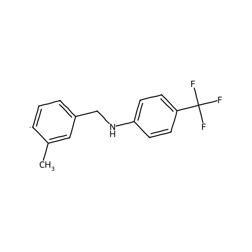 Cc1[c]ccc(CNc2ccc(C(F)(F)F)cc2)c1